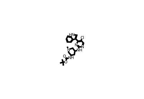 CN1CC(Nc2ncc(Cl)c(-c3c[nH]c4ccccc34)n2)C[C@H](NC(=O)OC(C)(C)C)C1